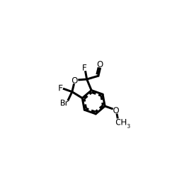 COc1ccc2c(c1)C(F)(C=O)OC2(F)Br